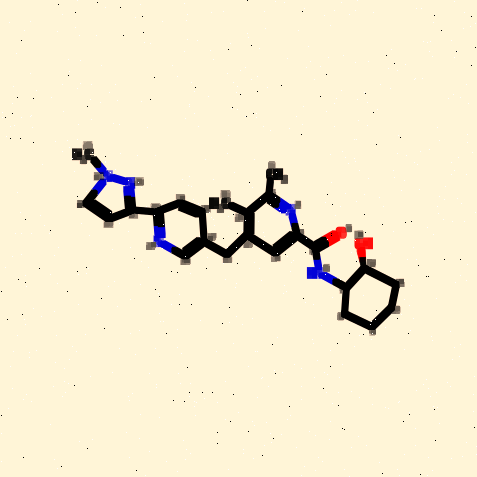 Cc1nc(C(=O)NC2CCCC[C@@H]2O)cc(Cc2ccc(-c3ccn(C)n3)nc2)c1C